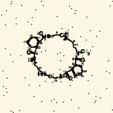 CN1CCNCCNC(=O)c2ccccc2C(=O)NCCNCCNC(=O)c2ccccc2C1=O